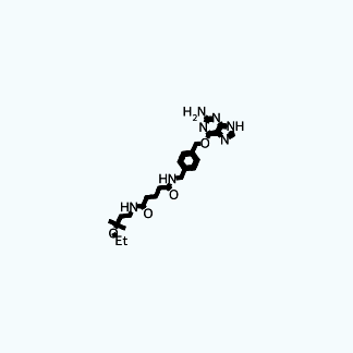 CCOC(C)(C)CCNC(=O)CCCC(=O)NCc1ccc(COc2nc(N)nc3[nH]cnc23)cc1